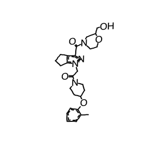 Cc1ccccc1OC1CCN(C(=O)Cn2nc(C(=O)N3CCOC(CO)C3)c3c2CCC3)CC1